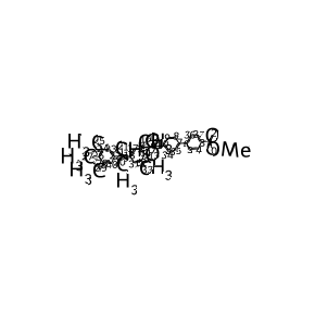 COC(=O)c1ccc(-c2ccc(C(=O)Oc3c(C)cc(C(C)(C)c4cc(C)c(C)c(C)c4)cc3C)cc2)cc1